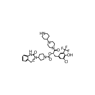 O=C(O[C@H](Cc1cc(Cl)c(O)c(C(F)(F)F)c1)C(=O)N1CCN(C2CCNCC2)CC1)N1CCC(N2CCc3ccccc3NC2=O)CC1